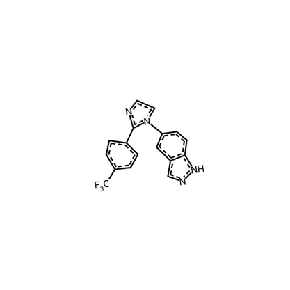 FC(F)(F)c1ccc(-c2nccn2-c2ccc3[nH]ncc3c2)cc1